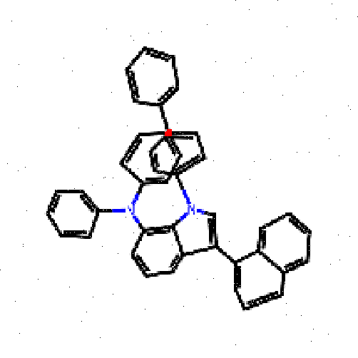 c1ccc(-c2ccc(-n3cc(-c4cccc5ccccc45)c4cccc(N(c5ccccc5)c5ccccc5)c43)cc2)cc1